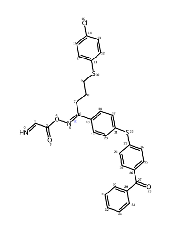 N=CC(=O)O/N=C(\CCCSc1ccc(Cl)cc1)c1ccc(Sc2ccc(C(=O)c3ccccc3)cc2)cc1